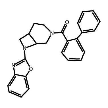 O=C(c1ccccc1-c1ccccc1)N1CCC2CN(c3nc4ccccc4o3)C2C1